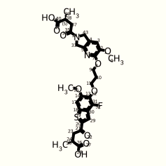 COc1cc2c(nc1OCCCOc1c(OC)cc3sc(C(=O)C[C@H](C)C(=O)O)cc3c1F)CN(C(=O)C[C@H](C)C(=O)O)C2